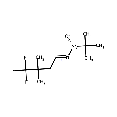 CC(C)(C)[S@@+]([O-])/N=C/CC(C)(C)C(F)(F)F